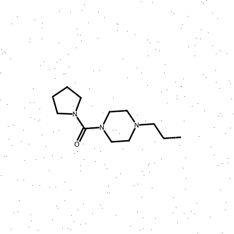 CCCN1CCN(C(=O)N2CCCC2)CC1